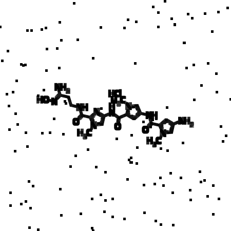 Cl.Cn1cc(N)cc1C(=O)Nc1cc(C(=O)Nc2cn(C)c(C(=O)NCCC(N)=NO)n2)n(C)c1